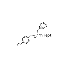 CCCCCCCC(Cn1ccnc1)OCc1ccc(Cl)cc1